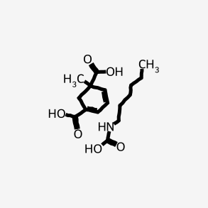 CC1(C(=O)O)C=CC=C(C(=O)O)C1.CCCCCCNC(=O)O